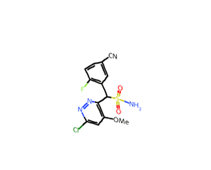 COc1cc(Cl)nnc1C(c1cc(C#N)ccc1F)S(N)(=O)=O